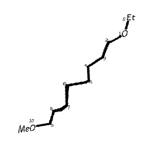 CCOCCC[CH]CCCCOC